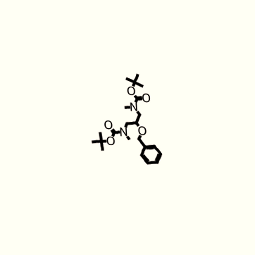 CN(CC(CN(C)C(=O)OC(C)(C)C)OCc1ccccc1)C(=O)OC(C)(C)C